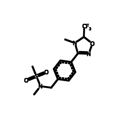 CN1C(c2ccc(CN(C)S(C)(=O)=O)cc2)=NOC1C(F)(F)F